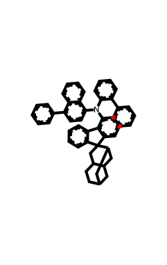 c1ccc(-c2ccccc2N(c2cccc3c2-c2ccccc2C32CC3CCC4CC3CC2C4)c2ccc(-c3ccccc3)c3ccccc23)cc1